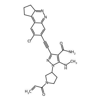 C=CC(=O)N1CCC(n2nc(C#Cc3cc4nnc5c(c4cc3Cl)CCC5)c(C(N)=O)c2NC)C1